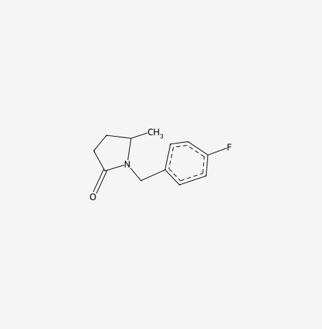 CC1CCC(=O)N1Cc1ccc(F)cc1